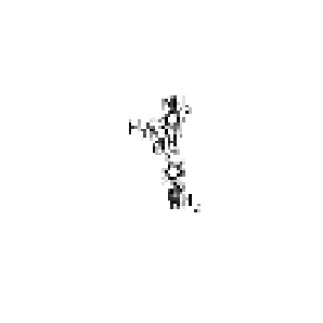 CCOC(=O)N(CCc1ccc(N=NN)cc1)Cc1ccc(N)cc1